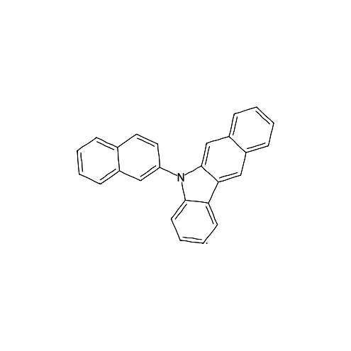 [c]1ccc2c(c1)c1cc3ccccc3cc1n2-c1ccc2ccccc2c1